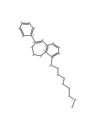 COCCCCCCOc1cccc2c1CCCC(c1ccccc1)=C2